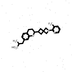 CC(Cc1ccc2c(c1)OC(C1CC3(C1)CN(c1ncccc1C(F)(F)F)C3)CC2)C(=O)O